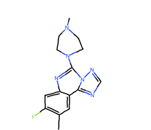 Cc1cc2c(cc1F)nc(N1CCN(C)CC1)n1ncnc21